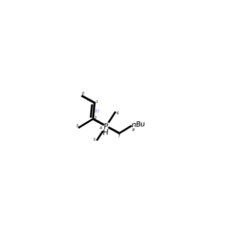 C/C=C(\C)[PH](C)(C)CCCCC